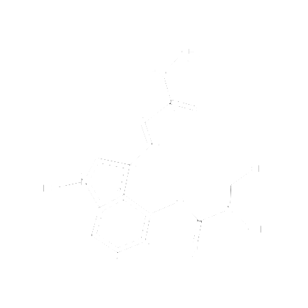 CCN(C)C(=O)Oc1cccc2c1c(C=CC(=O)OC)cn2C